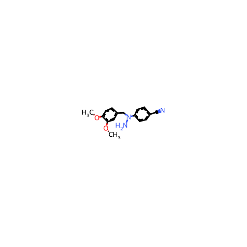 COc1ccc(CN(N)c2ccc(C#N)cc2)cc1OC